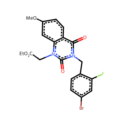 CCOC(=O)Cn1c(=O)n(Cc2ccc(Br)cc2F)c(=O)c2ccc(OC)cc21